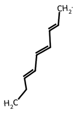 [CH2]/C=C/C=C/C=C/C[CH2]